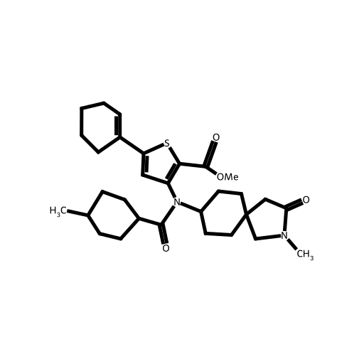 COC(=O)c1sc(C2=CCCCC2)cc1N(C(=O)C1CCC(C)CC1)C1CCC2(CC1)CC(=O)N(C)C2